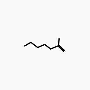 [CH]=C(C)CCCCC